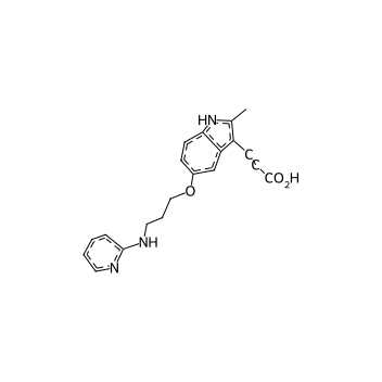 Cc1[nH]c2ccc(OCCCNc3ccccn3)cc2c1CCC(=O)O